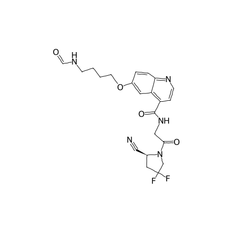 N#C[C@@H]1CC(F)(F)CN1C(=O)CNC(=O)c1ccnc2ccc(OCCCCNC=O)cc12